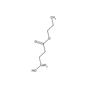 CCCOC(=O)C[CH2][GeH2][OH]